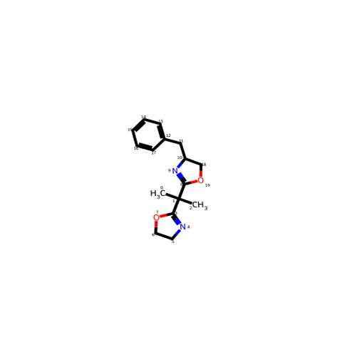 CC(C)(C1=NCCO1)C1=NC(Cc2ccccc2)CO1